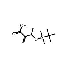 C=C(C(=O)O)[C@@H](C)O[Si](C)(C)C(C)(C)C